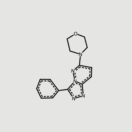 c1ccc(-c2nnc3ccc(N4CCOCC4)nn23)cc1